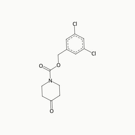 O=C1CCN(C(=O)OCc2cc(Cl)cc(Cl)c2)CC1